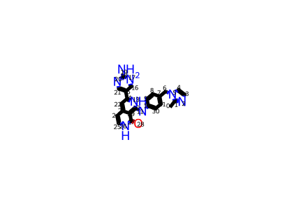 Cc1nccn1Cc1ccc(Nc2nc(-c3cnc(N)nc3)cc3cc[nH]c(=O)c23)cc1